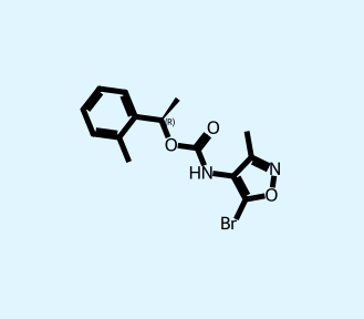 Cc1ccccc1[C@@H](C)OC(=O)Nc1c(C)noc1Br